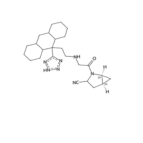 N#CC1C[C@@H]2C[C@@H]2N1C(=O)CNCCC1(c2nn[nH]n2)C2CCCCC2CC2CCCCC21